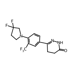 O=C1CCC(c2ccc(N3CCC(F)(F)C3)c(C(F)(F)F)c2)=NN1